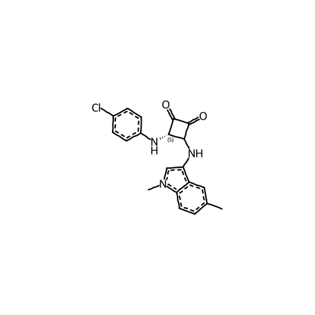 Cc1ccc2c(c1)c(NC1C(=O)C(=O)[C@H]1Nc1ccc(Cl)cc1)cn2C